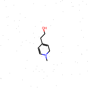 CN1C=CC(CCO)=CC1